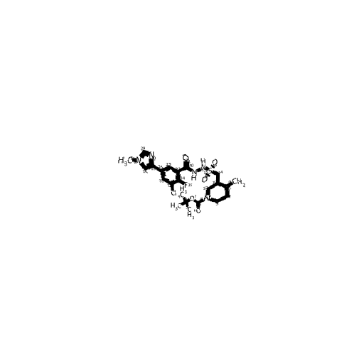 CC1CCN(C(=O)OC(C)(C)C)CC1CS(=O)(=O)NNC(=O)c1cc(-c2cn(C)cn2)cc(Cl)c1F